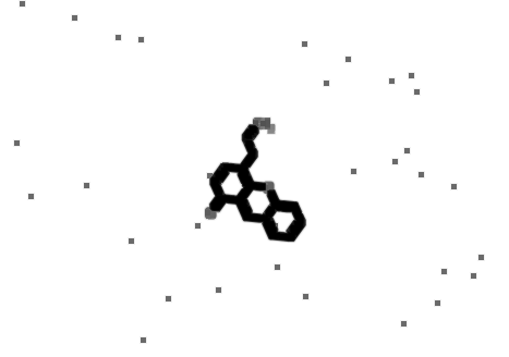 C=CCc1ccc(=O)c2cc3ccccc3oc1-2